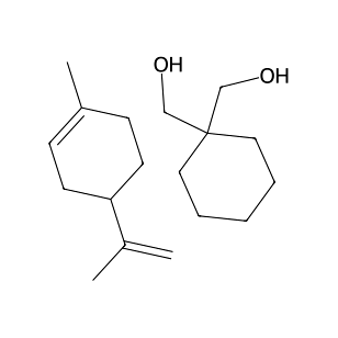 C=C(C)C1CC=C(C)CC1.OCC1(CO)CCCCC1